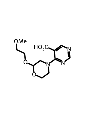 COCCOC1CN(c2ncncc2C(=O)O)CCO1